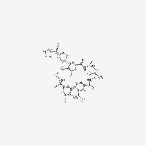 Cc1c(F)cc(C(=O)NC2CC2CC(C)(C)CNC(=O)c2ccc(-c3cc(C(=O)NC4CC4)cc(F)c3C)c(CO)c2)cc1-c1ccc(C(=O)N2CCCC2)cn1